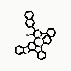 N#Cc1c(-c2ccc3ccccc3c2)nc(-c2ccccc2)nc1-c1cc2c3ccccc3oc2c2c3ccccc3n(-c3ccccc3)c12